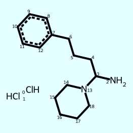 Cl.Cl.NC(CCCc1ccccc1)N1CCCCC1